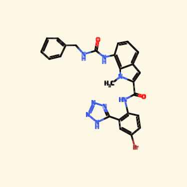 Cn1c(C(=O)Nc2ccc(Br)cc2-c2nnn[nH]2)cc2cccc(NC(=O)NCc3ccccc3)c21